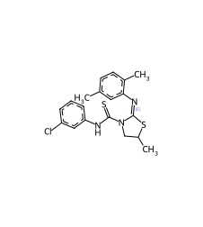 Cc1ccc(C)c(/N=C2/SC(C)CN2C(=S)Nc2cccc(Cl)c2)c1